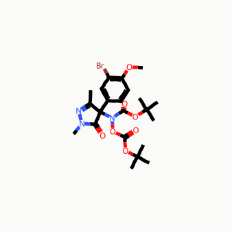 COc1ccc(C2(N(OC(=O)OC(C)(C)C)C(=O)OC(C)(C)C)C(=O)N(C)N=C2C)cc1Br